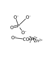 O=C([O-])O.O=P([O-])([O-])[O-].[Zn+2].[Zn+2]